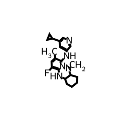 C=NC1CCCCC1Nc1nc(Nc2cncc(C3CC3)c2)c(C)cc1F